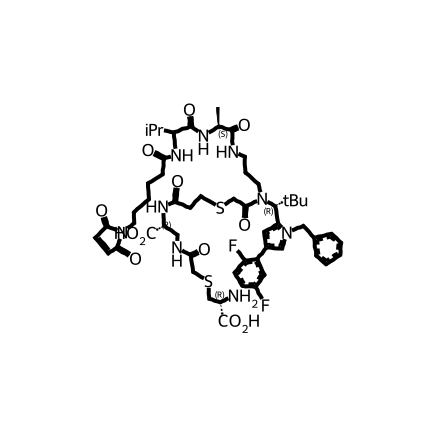 CC(C)C(NC(=O)CCCCCN1C(=O)C=CC1=O)C(=O)N[C@@H](C)C(=O)NCCCN(C(=O)CSCCC(=O)N[C@H](CNC(=O)CSC[C@H](N)C(=O)O)C(=O)O)[C@@H](c1cc(-c2cc(F)ccc2F)cn1Cc1ccccc1)C(C)(C)C